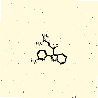 Cc1cccc(-c2nn3ccccc3c2C(=O)C=CN(C)C)n1